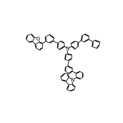 c1ccc(-c2cccc(-c3ccc(N(c4ccc(-c5cccc(-c6ccccc6-n6c7ccccc7c7ccccc76)c5)cc4)c4ccc(-c5cccc(-c6cccc7c6oc6ccccc67)c5)cc4)cc3)c2)cc1